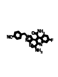 CCc1nn(Cc2ccc(C#N)cc2)cc1-c1c(C(N)=O)nc2cc(F)ccc2c1C(N)=O